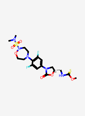 COC(=S)NC[C@H]1CN(c2cc(F)c(N3CCON(S(=O)(=O)N(C)C)CC3)c(F)c2)C(=O)O1